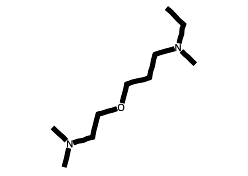 CCN(C)CCCOCCN(C)C